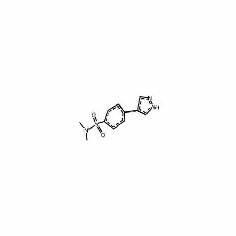 CN(C)S(=O)(=O)c1ccc(-c2cn[nH]c2)cc1